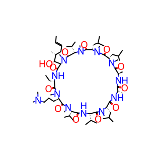 C/C=C/C[C@@H](C)[C@@H](O)[C@H]1C(=O)N[C@@H](CC)C(=O)N(C)[C@H](CCCN(C)C)C(=O)N(C)[C@@H](C(C)C)C(=O)N[C@@H](C(C)C)C(=O)N(C)[C@@H](CC(C)C)C(=O)N[C@@H](C)C(=O)N[C@H](C)C(=O)N(C)[C@@H](CC(C)C)C(=O)N(C)[C@@H](CC(C)C)C(=O)N(C)[C@@H](C(C)C)C(=O)N1C